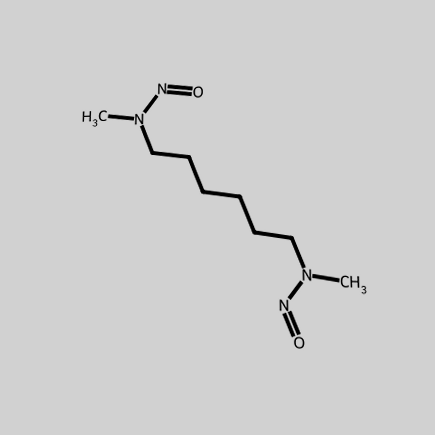 CN(CCCCCCN(C)N=O)N=O